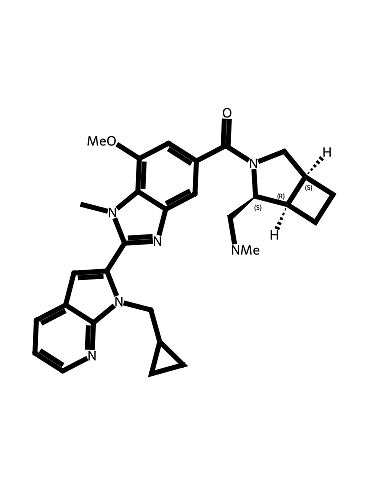 CNC[C@@H]1[C@@H]2CC[C@@H]2CN1C(=O)c1cc(OC)c2c(c1)nc(-c1cc3cccnc3n1CC1CC1)n2C